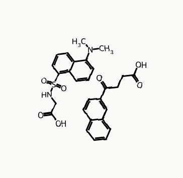 CN(C)c1cccc2c(S(=O)(=O)NCC(=O)O)cccc12.O=C(O)CCC(=O)c1ccc2ccccc2c1